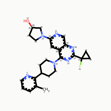 Cc1cccnc1C1CCN(c2nc(C3(F)CC3)nc3cnc(N4CC[C@@H](O)C4)cc23)CC1